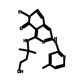 CCn1ccc2cc(Nc3cc(C)ccn3)nc(NC(C)(C)CCO)c2c1=O